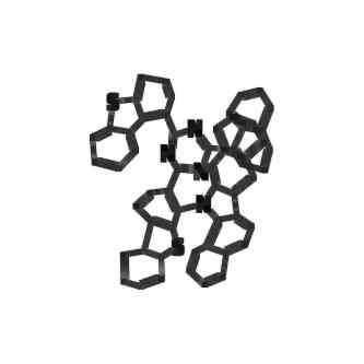 C1=CC2Sc3c(ccc(-c4nc(-c5cccc6ccccc56)nc(-c5cccc6sc7ccccc7c56)n4)c3-n3c4cc5ccccc5cc4c4ccc5ccccc5c43)C2C=C1